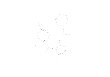 Cc1nn(C)c(OC(=S)c2ccccc2)c1C(=O)c1ccc(Cl)cc1Cl